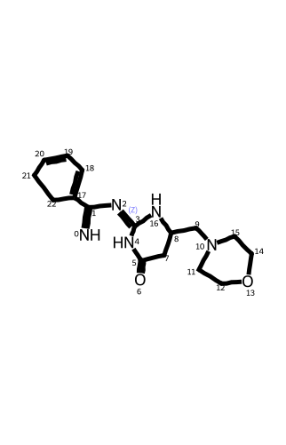 N=C(/N=C1\NC(=O)CC(CN2CCOCC2)N1)C1=CC=CCC1